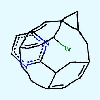 BrC1C=C2C=CC13CC3CC1=CC=C(CC2)C(c2ncccn2)C1